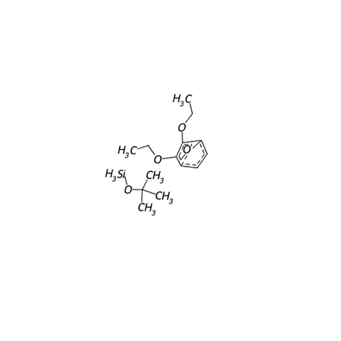 CC(C)(C)O[SiH3].CCOc1c(OCC)c2ccc1o2